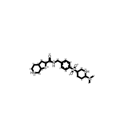 CN(C)C1CCC(S(=O)(=O)c2ccc(CNC(=O)C3CC4CCNCC4S3)cc2)CN1